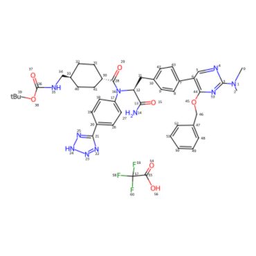 CN(C)c1ncc(-c2ccc(C[C@@H](C(N)=O)N(c3ccc(-c4nn[nH]n4)cc3)C(=O)[C@H]3CC[C@H](CNC(=O)OC(C)(C)C)CC3)cc2)c(OCc2ccccc2)n1.O=C(O)C(F)(F)F